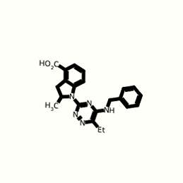 CCc1nnc(N2c3cccc(C(=O)O)c3CC2C)nc1NCc1ccccc1